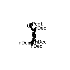 CCCCCCCCCCCCN(CCCCCCCCCCCC)CCN(CCCCCCCCCCCC)CCN1CCN(CCN(CCCCCCCCCCCC)CCCCCC(=O)OCCCCC)CC1